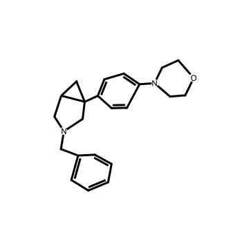 c1ccc(CN2CC3CC3(c3ccc(N4CCOCC4)cc3)C2)cc1